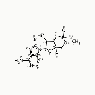 CSP1(=O)OC[C@H]2O[C@@H](n3c(Br)nc4c(N)ncnc43)C(O)C2O1